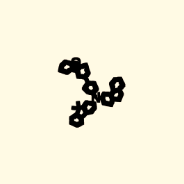 CC1(C)c2ccccc2-c2ccc(N(c3ccc(-c4ccc5oc6ccccc6c5c4)cc3)c3ccc4ccc5ccccc5c4c3)cc21